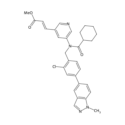 COC(=O)/C=C/c1cncc(N(Cc2ccc(-c3ccc4c(cnn4C)c3)cc2Cl)C(=O)C2CCCCC2)c1